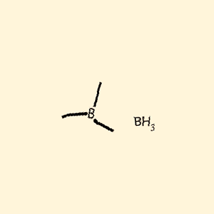 B.CB(C)C